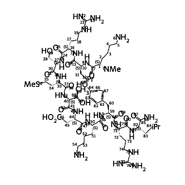 CN[C@@H](CCCCN)C(=O)N[C@@H](CC(C)C)C(=O)N[C@@H](CCCNC(=N)N)C(=O)N[C@@H](CO)C(=O)N[C@@H](CCSC)C(=O)N[C@H](C(=O)N[C@@H](CC(=O)O)C(=O)N[C@@H](CCCCN)C(=O)N[C@@H](Cc1ccc(O)cc1)C(=O)N[C@@H](CCCNC(=N)N)C(=O)N[C@@H](CC(C)C)C(N)=O)[C@@H](C)O